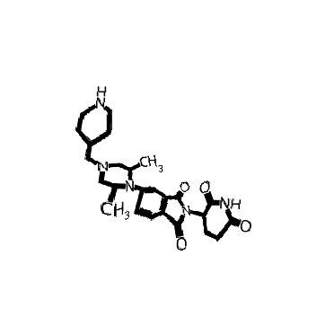 CC1CN(CC2CCNCC2)CC(C)N1c1ccc2c(c1)C(=O)N(C1CCC(=O)NC1=O)C2=O